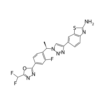 C[C@H](c1ccc(-c2nnc(C(F)F)o2)cc1F)n1cc(-c2ccc3nc(N)sc3c2)nn1